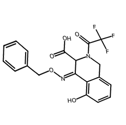 O=C(O)C1C(=NOCc2ccccc2)c2c(O)cccc2CN1C(=O)C(F)(F)F